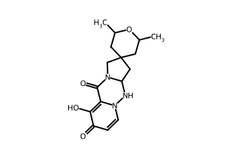 CC1CC2(CC(C)O1)CC1Nn3ccc(=O)c(O)c3C(=O)N1C2